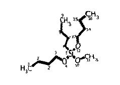 CCCCO[Si](CCCC)(OC)OCCCC